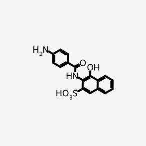 Nc1ccc(C(=O)Nc2c(S(=O)(=O)O)cc3ccccc3c2O)cc1